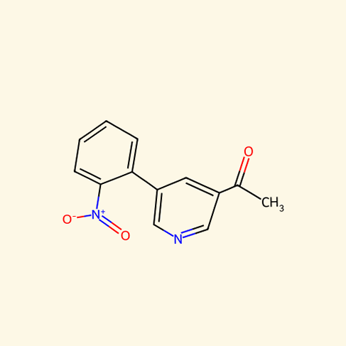 CC(=O)c1cncc(-c2ccccc2[N+](=O)[O-])c1